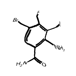 NC(=O)c1cc(Br)c(F)c(I)c1N